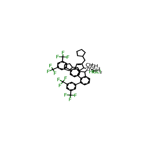 Cl.Cl.[CH3][Zr]([CH3])(=[SiH2])([CH]1C(CC2CCCC2)=Cc2c(-c3cc(C(F)(F)F)cc(C(F)(F)F)c3)cccc21)[CH]1C(CC2CCCC2)=Cc2c(-c3cc(C(F)(F)F)cc(C(F)(F)F)c3)cccc21